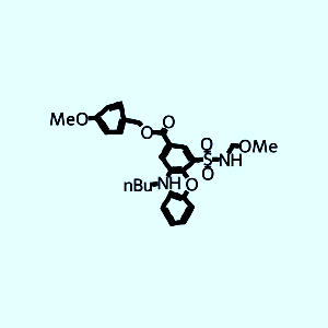 CCCCNc1cc(C(=O)OCc2ccc(OC)cc2)cc(S(=O)(=O)NCOC)c1Oc1ccccc1